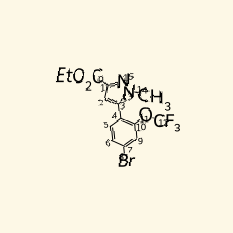 CCOC(=O)c1cc(-c2ccc(Br)cc2OC(F)(F)F)n(C)n1